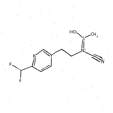 CS(O)=[N+](C#N)CCc1ccc(C(F)F)nc1